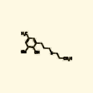 Cc1cc(CCCSCCC(=O)O)c(O)c(C(C)(C)C)c1